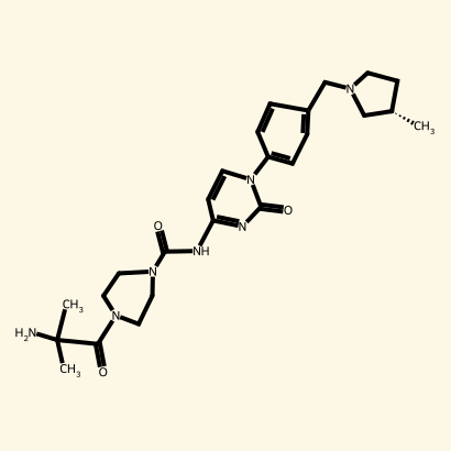 C[C@H]1CCN(Cc2ccc(-n3ccc(NC(=O)N4CCN(C(=O)C(C)(C)N)CC4)nc3=O)cc2)C1